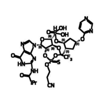 CC(C)C(=O)Nc1nc2c(ncn2[C@@H]2O[C@H](CO)[C@@H](OCC(F)(F)F)[C@@H]2OP(=S)(OCCC#N)OC[C@H]2C[C@@H](Oc3ccncn3)C[C@@H]2O[PH](=O)O)c(=O)[nH]1